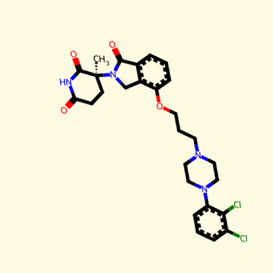 C[C@]1(N2Cc3c(OCCCN4CCN(c5cccc(Cl)c5Cl)CC4)cccc3C2=O)CCC(=O)NC1=O